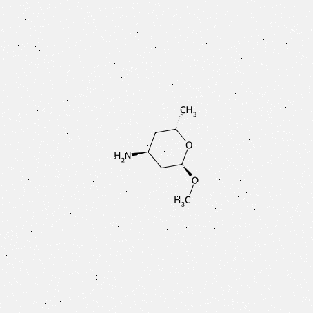 CO[C@H]1C[C@@H](N)C[C@H](C)O1